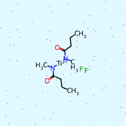 CCCC(=O)[N](C)[Ti+2][N](C)C(=O)CCC.[F-].[F-]